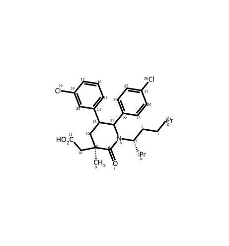 CC(C)CC[C@H](C(C)C)N1C(=O)[C@@](C)(CC(=O)O)CC(c2cccc(Cl)c2)C1c1ccc(Cl)cc1